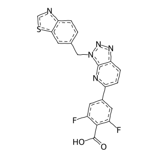 O=C(O)c1c(F)cc(-c2ccc3nnn(Cc4ccc5ncsc5c4)c3n2)cc1F